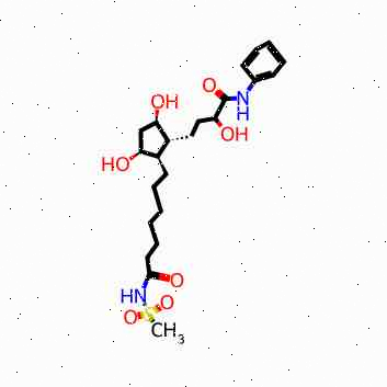 CS(=O)(=O)NC(=O)CCCCCC[C@@H]1[C@@H](CCC(O)C(=O)Nc2ccccc2)[C@H](O)C[C@@H]1O